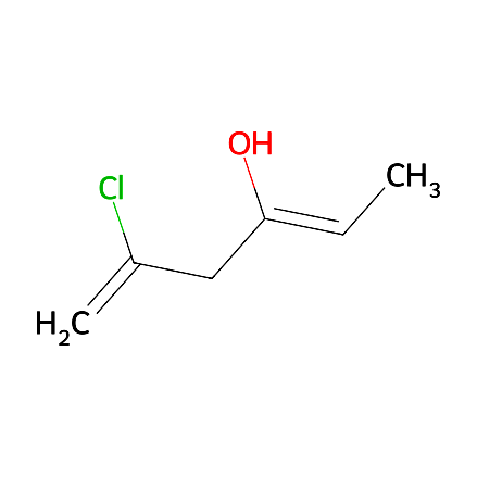 C=C(Cl)CC(O)=CC